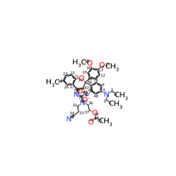 CCN(CC)c1ccc(C2(c3ccc(OC)c(OC)c3)Oc3ccc(C)cc3-c3nc(N(CCC#N)CCOC(C)=O)sc32)c([N+](=O)[O-])c1